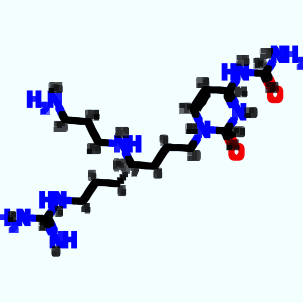 N=C(N)NCCC[C@@H](CCCn1ccc(NC(N)=O)nc1=O)NCCCN